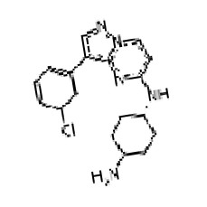 N[C@H]1CC[C@H](Nc2ccn3ncc(C4=CC=CC(Cl)C4)c3n2)CC1